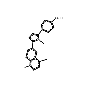 Cc1ccc(C)c2cc(-c3ccc(-c4ccc(C(=O)O)cc4)n3C)ccc12